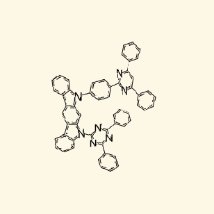 c1ccc(-c2cc(-c3ccccc3)nc(-c3ccc(-n4c5ccccc5c5cc6c7ccccc7n(-c7nc(-c8ccccc8)nc(-c8ccccc8)n7)c6cc54)cc3)n2)cc1